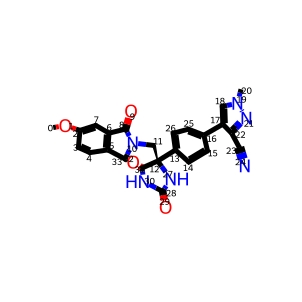 COc1ccc2c(c1)C(=O)N(C[C@@]1(c3ccc(-c4cn(C)nc4C#N)cc3)NC(=O)NC1=O)C2